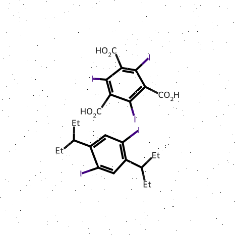 CCC(CC)c1cc(I)c(C(CC)CC)cc1I.O=C(O)c1c(I)c(C(=O)O)c(I)c(C(=O)O)c1I